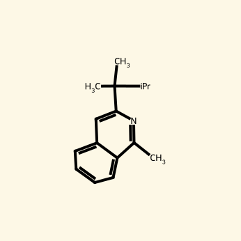 Cc1nc(C(C)(C)C(C)C)cc2ccccc12